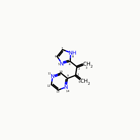 C=C(C(=C)c1ncc[nH]1)c1cnccn1